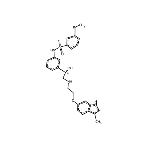 CNc1cccc(S(=O)(=O)Nc2cccc([C@@H](O)CNCCOc3ccc4c(C)n[nH]c4c3)c2)c1